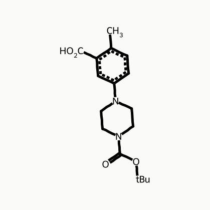 Cc1ccc(N2CCN(C(=O)OC(C)(C)C)CC2)cc1C(=O)O